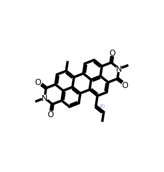 C/C=C/c1cc2c3c(ccc4c5c(C)cc6c7c(ccc(c1c34)c75)C(=O)N(C)C6=O)C(=O)N(C)C2=O